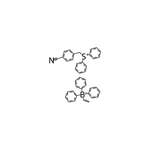 C=C[B-](c1ccccc1)(c1ccccc1)c1ccccc1.N#Cc1ccc(C[S+](c2ccccc2)c2ccccc2)cc1